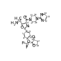 C[C@H](N)c1oc(-c2ccc(OC(F)F)c(OC3CCOC3)c2)nc1C(=O)N1CCN(c2ncccn2)CC1